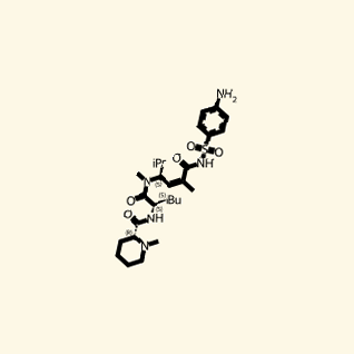 CC[C@H](C)[C@H](NC(=O)[C@H]1CCCCN1C)C(=O)N(C)[C@H](C=C(C)C(=O)NS(=O)(=O)c1ccc(N)cc1)C(C)C